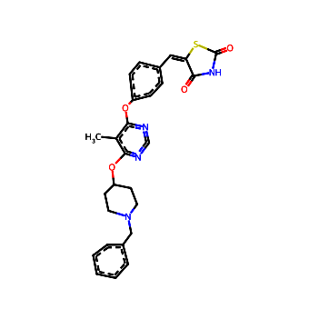 Cc1c(Oc2ccc(C=C3SC(=O)NC3=O)cc2)ncnc1OC1CCN(Cc2ccccc2)CC1